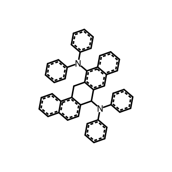 c1ccc(N(c2ccccc2)c2c3c(cc4ccccc24)C(N(c2ccccc2)c2ccccc2)c2ccc4ccccc4c2C3)cc1